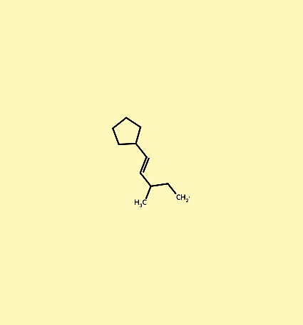 [CH2]CC(C)/C=C/C1CCCC1